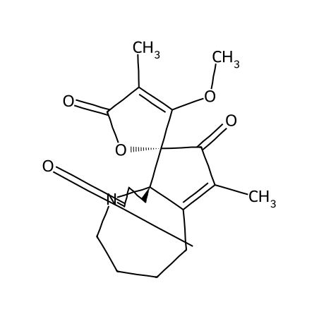 COC1=C(C)C(=O)O[C@@]12C(=O)C(C)=C1CCCCN3C(=O)CC[C@@]132